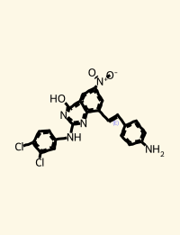 Nc1ccc(/C=C/c2cc([N+](=O)[O-])cc3c(O)nc(Nc4ccc(Cl)c(Cl)c4)nc23)cc1